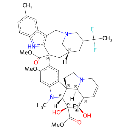 CC[C@]12C=CCN3CC[C@@]4(c5cc([C@@]6(C(=O)OC)C[C@H]7CC(C(C)(F)F)CN(Cc8c6[nH]c6ccc(C)cc86)C7)c(OC)cc5N(C)[C@H]4[C@@](O)(C(=O)OC)[C@@H]1O)[C@@H]32